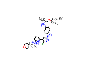 CCOC(=O)[C@H](C)OC[C@H](C)N[C@H]1CC[C@H](Nc2cc(-c3cccc(NCC4(C#N)CCOCC4)n3)c(Cl)cn2)CC1